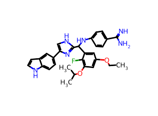 CCOc1cc(OC(C)C)c(F)c(C(Nc2ccc(C(=N)N)cc2)c2nc(-c3ccc4[nH]ccc4c3)c[nH]2)c1